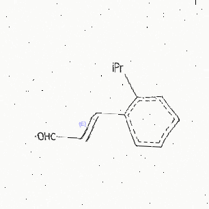 CC(C)c1ccccc1/C=C/[C]=O